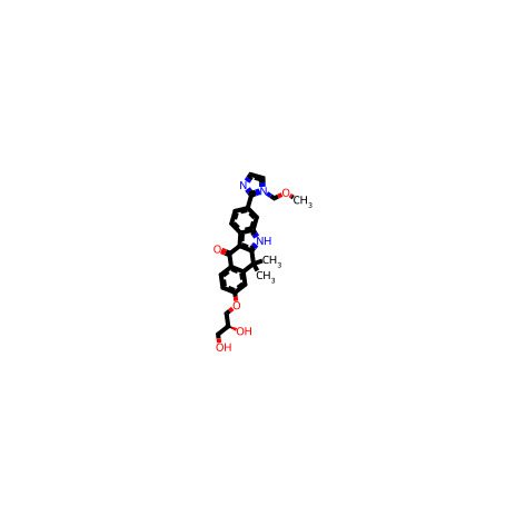 COCn1ccnc1-c1ccc2c3c([nH]c2c1)C(C)(C)c1cc(OC[C@@H](O)CO)ccc1C3=O